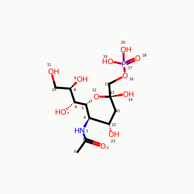 CC(=O)N[C@H]1[C@H]([C@H](O)[C@H](O)CO)O[C@](O)(COP(=O)(O)O)C[C@@H]1O